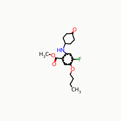 CCCCOc1cc(C(=O)OC)c(NC2CCC(=O)CC2)cc1F